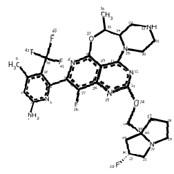 Cc1cc(N)nc(-c2nc3c4c(nc(OC[C@@]56CCCN5C[C@H](F)C6)nc4c2F)N2CCNCC2C(C)O3)c1C(F)(F)F